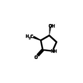 C[C@@H]1C(=O)NC[C@H]1O